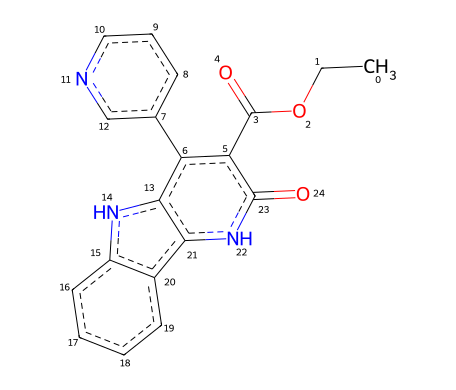 CCOC(=O)c1c(-c2cccnc2)c2[nH]c3ccccc3c2[nH]c1=O